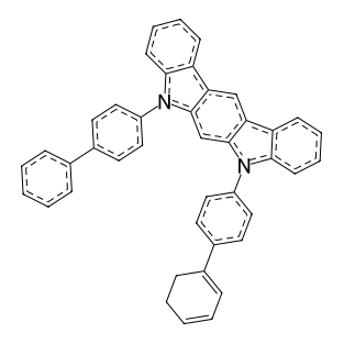 C1=CCCC(c2ccc(-n3c4ccccc4c4cc5c6ccccc6n(-c6ccc(-c7ccccc7)cc6)c5cc43)cc2)=C1